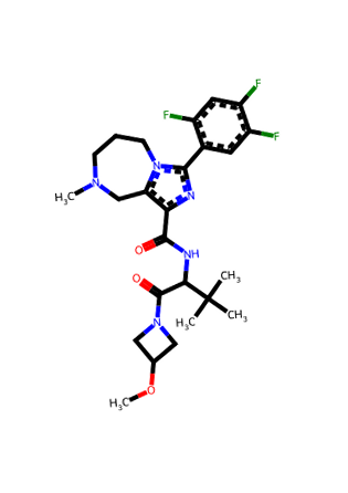 COC1CN(C(=O)C(NC(=O)c2nc(-c3cc(F)c(F)cc3F)n3c2CN(C)CCC3)C(C)(C)C)C1